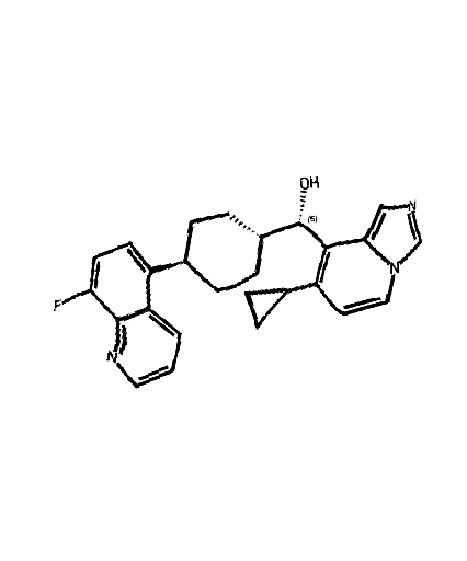 O[C@H](c1c(C2CC2)ccn2cncc12)[C@H]1CC[C@H](c2ccc(F)c3ncccc32)CC1